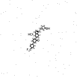 Cl.O=c1cc(-c2ccc(C(F)(F)F)cc2)ccn1-c1ccc2c(cnn2CCN2CCC(O)C2)c1